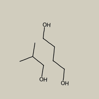 CC(C)CO.OCCCCO